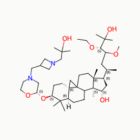 CCO[C@@H](C(C[C@@H](C)[C@H]1C[C@H](O)[C@@]2(C)C3CC[C@H]4C(C)(C)[C@@H](O[C@H]5CN(CC6CN(CC(C)(C)O)C6)CCO5)CC[C@@]45CC35CC[C@]12C)OC)C(C)(C)O